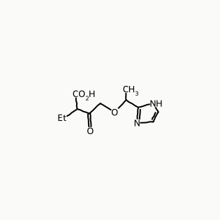 CCC(C(=O)O)C(=O)COC(C)c1ncc[nH]1